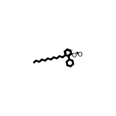 CCCCCCCCCCCc1cc[c]c(OC=O)c1C1CCCCC1